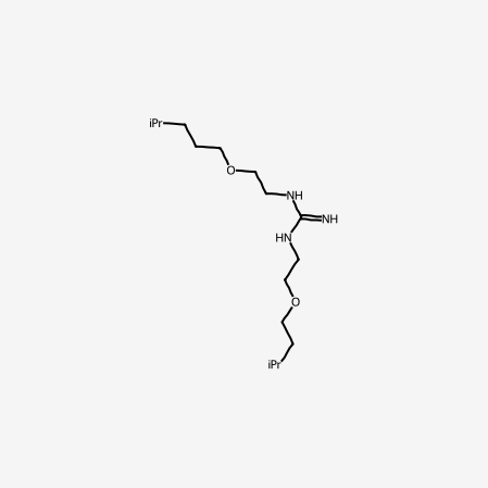 CC(C)CCCOCCNC(=N)NCCOCCC(C)C